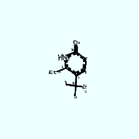 CCc1[nH]c(=O)ccc1C(C)(C)CC